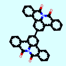 O=c1c2ccccc2c2cc(-c3cc4c5ccccc5c(=O)n5c(=O)c6ccccc6c(c3)c45)cc3c4ccccc4c(=O)n1c23